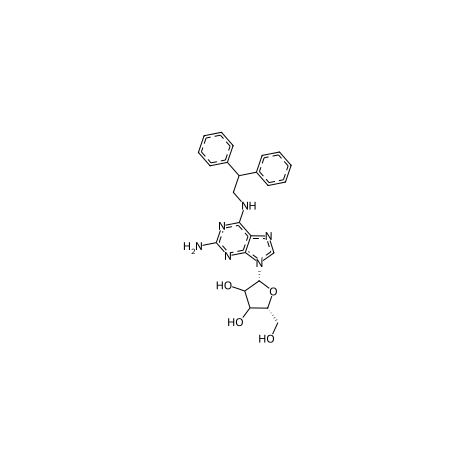 Nc1nc(NCC(c2ccccc2)c2ccccc2)c2ncn([C@@H]3O[C@H](CO)C(O)C3O)c2n1